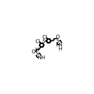 O=C(/C=C/c1ccc(Sc2ccc(/C=C/C(=O)[SH]3CCNCC3)cc2Cl)c(Cl)c1)[SH]1CCNCC1